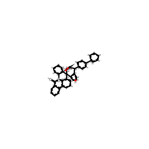 O=c1c2ccccc2c2cccc3c2n1-c1ccccc1C31c2ccccc2C(c2ccc(-c3ccccc3)cc2)c2ccccc21